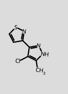 Cc1[nH]nc(-c2ccsn2)c1Cl